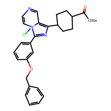 COC(=O)C1CCC(C2=C3C=NC=C[N+]3(Cl)C(c3cccc(OCc4ccccc4)c3)=N2)CC1